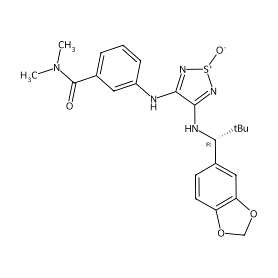 CN(C)C(=O)c1cccc(Nc2n[s+]([O-])nc2N[C@@H](c2ccc3c(c2)OCO3)C(C)(C)C)c1